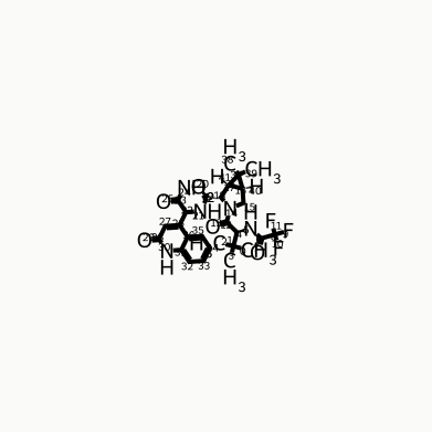 CC(C)(C)[C@H](NC(=O)C(F)(F)F)C(=O)N1C[C@H]2[C@@H]([C@H]1C(=O)NC(C(N)=O)c1cc(=O)[nH]c3ccccc13)C2(C)C